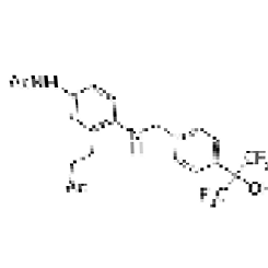 CC(=O)CCc1cc(NC(C)=O)ccc1NCc1ccc(C(O)(C(F)(F)F)C(F)(F)F)cc1